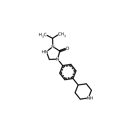 CC(C)N1NCN(c2ccc(C3CCNCC3)cc2)C1=O